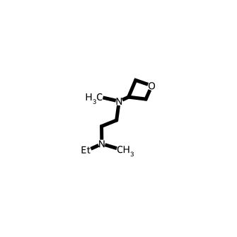 CCN(C)CCN(C)C1COC1